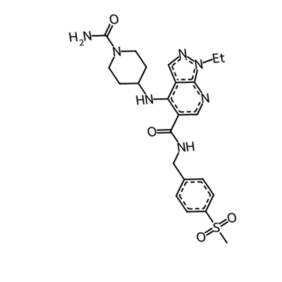 CCn1ncc2c(NC3CCN(C(N)=O)CC3)c(C(=O)NCc3ccc(S(C)(=O)=O)cc3)cnc21